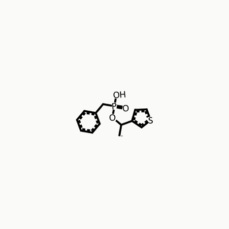 [CH2]C(OP(=O)(O)Cc1ccccc1)c1ccsc1